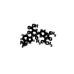 CC(C)n1c(=O)n(C)c2ccc(-n3cc(C(=O)O)c(=O)n(C4CCc5c4cccc5C(F)(F)F)c3=O)cc21